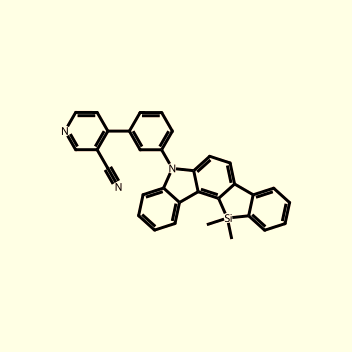 C[Si]1(C)c2ccccc2-c2ccc3c(c21)c1ccccc1n3-c1cccc(-c2ccncc2C#N)c1